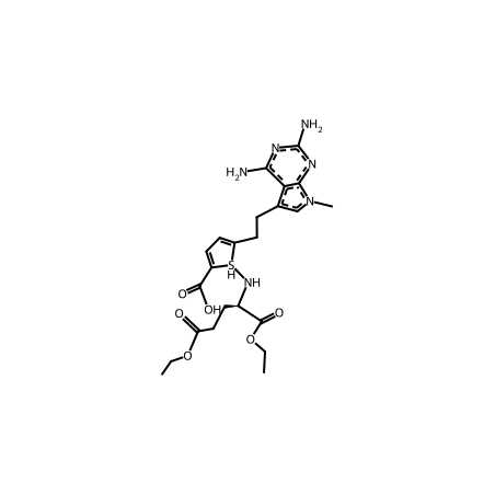 CCOC(=O)CC[C@@H](N[SH]1C(CCc2cn(C)c3nc(N)nc(N)c23)=CC=C1C(=O)O)C(=O)OCC